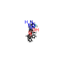 C#C[C@]1(CO[Si](c2ccccc2)(c2ccccc2)C(C)(C)C)OC[C@@H](n2cnc3c(N)nc(F)nc32)[C@@H]1O